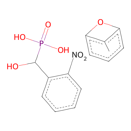 Cc1c2cccc1O2.O=[N+]([O-])c1ccccc1C(O)P(=O)(O)O